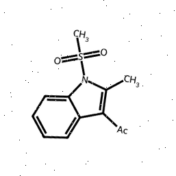 CC(=O)c1c(C)n(S(C)(=O)=O)c2ccccc12